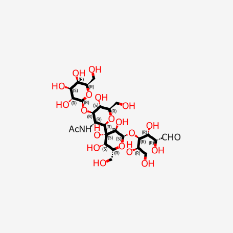 CC(=O)N[C@@H]1[C@@H](O[C@@H]2O[C@H](CO)[C@H](O)[C@H](O)[C@H]2O)[C@H](O)[C@@H](CO)O[C@H]1[C@@]1(O)[C@@H](O)[C@H](O[C@@H]([C@H](O)[C@@H](O)C=O)[C@H](O)CO)O[C@H](CO)[C@@H]1O